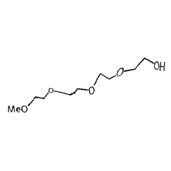 [CH2]OCCOCCOCCOCCO